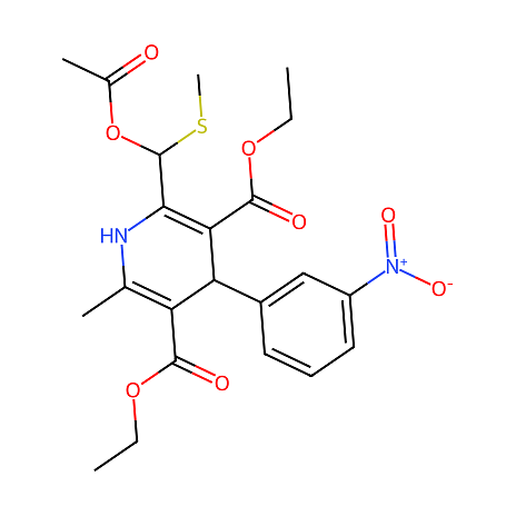 CCOC(=O)C1=C(C)NC(C(OC(C)=O)SC)=C(C(=O)OCC)C1c1cccc([N+](=O)[O-])c1